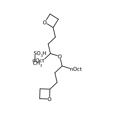 CCCCCCCCC(CCC1CCO1)OC(CCCCCCCC)CCC1CCO1.CS(=O)(=O)O